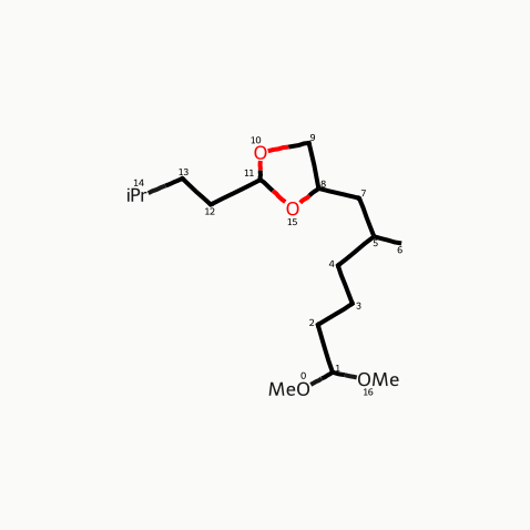 COC(CCCC(C)CC1COC(CCC(C)C)O1)OC